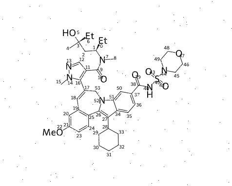 CC[C@H](C[C@](C)(O)CC)N(C)C(=O)c1cnn(C)c1C1=Cc2cc(OC)ccc2-c2c(C3CCCCC3)c3ccc(C(=O)NS(=O)(=O)N4CCOCC4)cc3n2C1